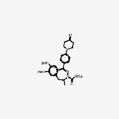 CNC(=O)N1N=C(c2ccc(N3CCC(=O)CC3)cc2)c2cc(OC)c(OC)cc2CC1C